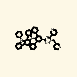 N=C(/N=C(\N=C\c1cccnc1)c1cccnc1)c1cc(-c2ccccc2)c(-n2c3ccccc3c3c2ccc2c4ccccc4n(C4C=CC=CC4)c23)c(-c2ccccc2)c1